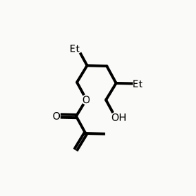 C=C(C)C(=O)OCC(CC)CC(CC)CO